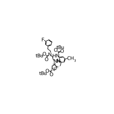 Cc1cc(C[C@@H]2CN(C(=O)OC(C)(C)C)C[C@H]2NCCN(CCc2cccc(F)c2)C(=O)OC(C)(C)C)nc(NC(=O)OC(C)(C)C)c1